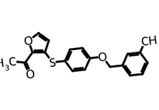 CC(=O)c1occc1Sc1ccc(OCc2cccc(C)c2)cc1